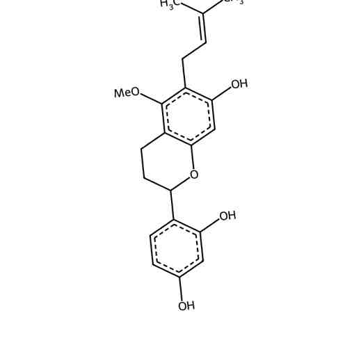 COc1c(CC=C(C)C)c(O)cc2c1CCC(c1ccc(O)cc1O)O2